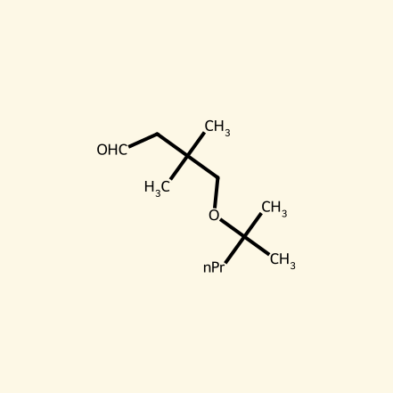 CCCC(C)(C)OCC(C)(C)CC=O